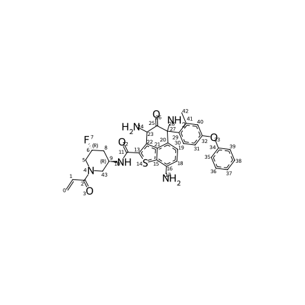 C=CC(=O)N1C[C@H](F)C[C@@H](NC(=O)c2sc3c(N)ccc4c3c2C(N)C(=O)C4(N)c2ccc(Oc3ccccc3)cc2C)C1